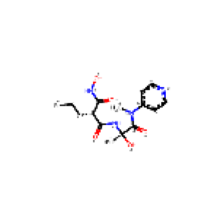 CC(C)CC[C@H](C(=O)NO)C(=O)N[C@@](O)(C(=O)N(C)c1ccncc1)C(C)(C)C